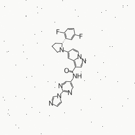 O=C(Nc1cnc(-n2ccnc2)nc1)c1cnn2ccc(N3CCC[C@@H]3c3cc(F)ccc3F)cc12